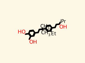 CCc1cc(C(C)(C)CCc2ccc(CO)c(CO)c2)ccc1CCC(O)C(C)C